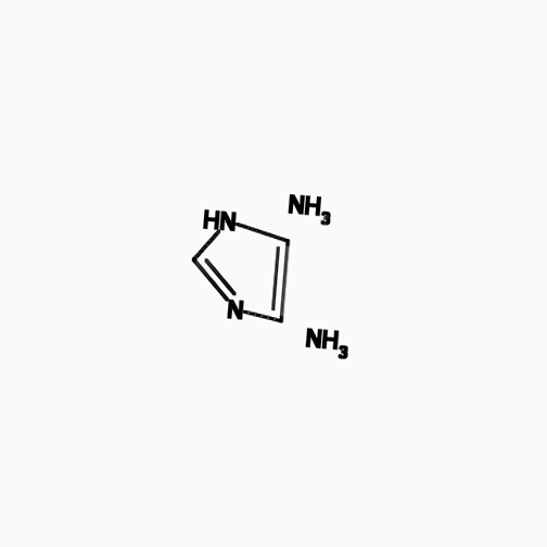 N.N.c1c[nH]cn1